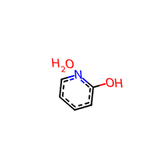 O.Oc1ccccn1